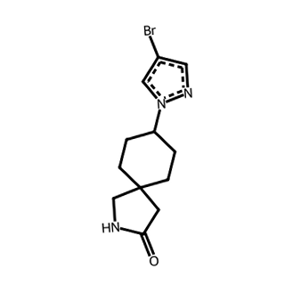 O=C1CC2(CCC(n3cc(Br)cn3)CC2)CN1